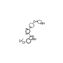 CC1(Oc2ccc3[nH]nc(-c4cc(N5CCC(O[C@@H]6CCNC6)CC5)ncn4)c3c2)CC1